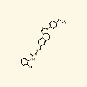 CCc1ccccc1NC(=S)N=NC=C1C=C2CCc3c(cnn3-c3ccc(OC(F)(F)F)cc3)C2=CC1